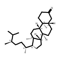 CC(C)[C@H](C)CC[C@@H](C)[C@H]1CC[C@H]2[C@@H]3CC[C@H]4CC(=O)CC[C@]4(C)[C@H]3CC[C@]12C